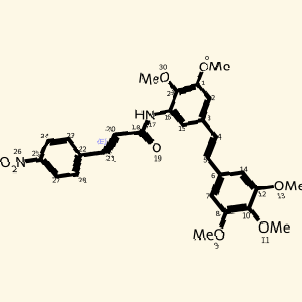 COc1cc(C=Cc2cc(OC)c(OC)c(OC)c2)cc(NC(=O)/C=C/c2ccc([N+](=O)[O-])cc2)c1OC